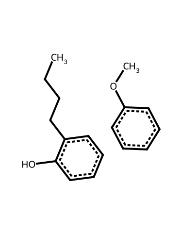 CCCCc1ccccc1O.COc1ccccc1